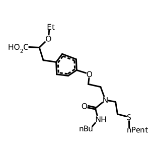 CCCCCSCCN(CCOc1ccc(CC(OCC)C(=O)O)cc1)C(=O)NCCCC